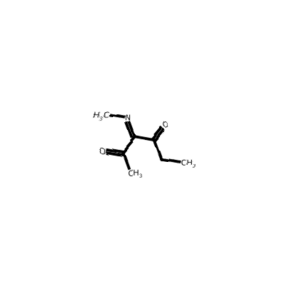 CCC(=O)/C(=N/C)C(C)=O